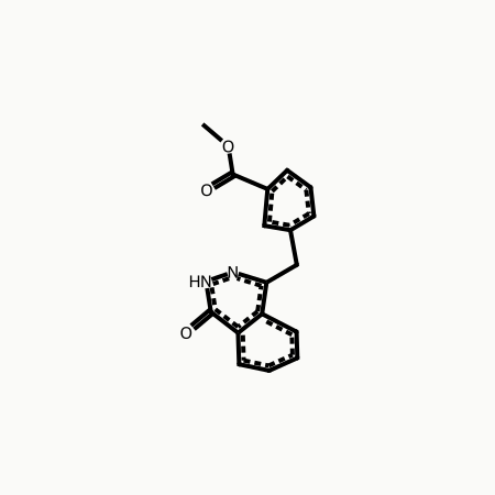 COC(=O)c1cccc(Cc2n[nH]c(=O)c3ccccc23)c1